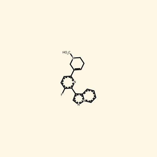 O=C(O)N1CCC=C(c2ccc(F)c(-c3cnn4ccccc34)n2)C1